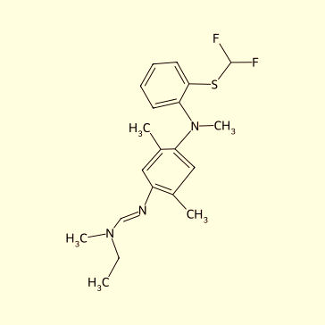 CCN(C)C=Nc1cc(C)c(N(C)c2ccccc2SC(F)F)cc1C